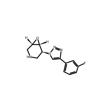 Fc1cccc(-c2cn([C@H]3CNC[C@@H]4O[C@@H]43)nn2)c1